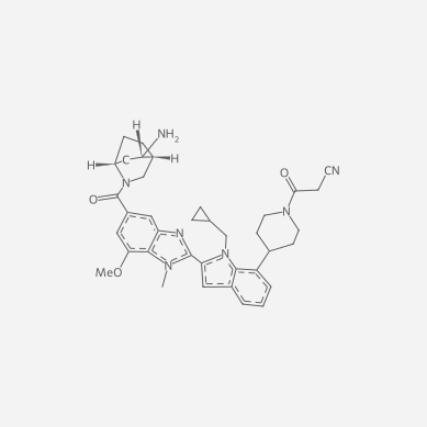 COc1cc(C(=O)N2C[C@H]3CC[C@@H]2C[C@@H]3N)cc2nc(-c3cc4cccc(C5CCN(C(=O)CC#N)CC5)c4n3CC3CC3)n(C)c12